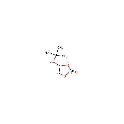 CC(C)(C)OC1COC(=O)O1